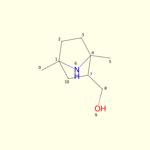 CC12CCC(C)(N1)C(CO)C2